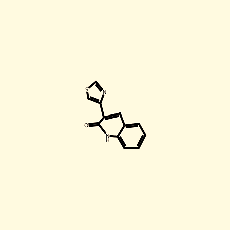 O=c1[nH]c2ccccc2cc1-c1cscn1